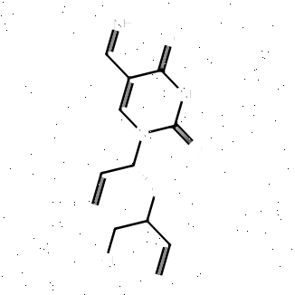 C=CC(CO)O[C@H](C=C)n1cc(C=N)c(=O)[nH]c1=O